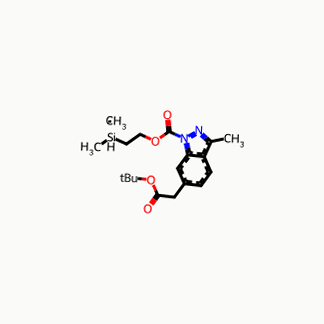 Cc1nn(C(=O)OCC[SiH](C)C)c2cc(CC(=O)OC(C)(C)C)ccc12